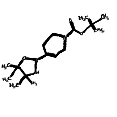 CC(C)(C)OC(=O)N1CC=C(B2BC(C)(C)C(C)(C)O2)CC1